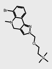 CN1Cc2cn(COCC[Si](C)(C)C)nc2-c2cccc(Br)c21